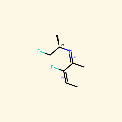 C/C=C(F)\C(C)=N/[C@H](C)CF